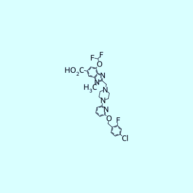 Cn1c(CN2CCN(c3cccc(OCc4ccc(Cl)cc4F)n3)CC2)nc2c(OC(F)F)cc(C(=O)O)cc21